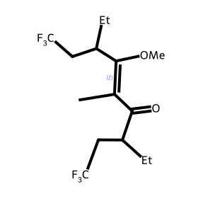 CCC(CC(F)(F)F)C(=O)/C(C)=C(\OC)C(CC)CC(F)(F)F